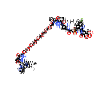 CC[C@@]1(O)C(=O)OCc2c1cc1n(c2=O)Cc2c-1nc1cc(F)c(C)c3c1c2[C@@H](NS(=O)(=O)CCC(=O)NCc1ccc(NC(=O)[C@H](C)NC(=O)[C@@H](NC(=O)CCOCCOCCOCCOCCOCCOCCOCCOCCNC(=O)[C@H](CS(=O)(=O)O)NC(=O)CCn2c(CN(C)NC)cc4cccnc42)C(C)C)cc1)CC3